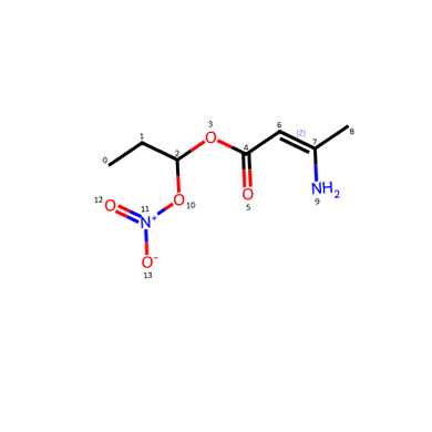 CCC(OC(=O)/C=C(/C)N)O[N+](=O)[O-]